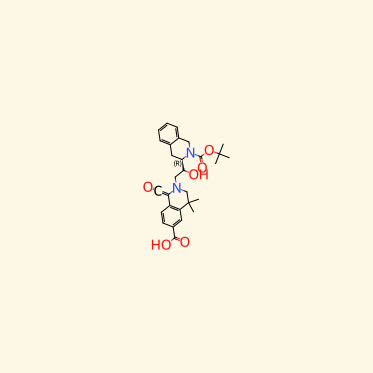 CC(C)(C)OC(=O)N1Cc2ccccc2C[C@@H]1C(O)CN1CC(C)(C)c2cc(C(=O)O)ccc2C1=C=O